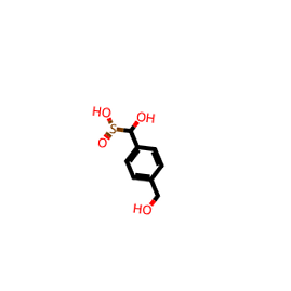 O=S(O)C(O)c1ccc(CO)cc1